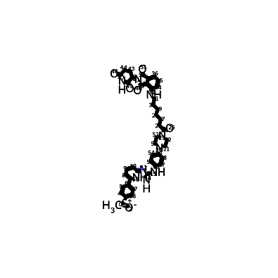 C[S+]([O-])c1ccc(-c2ccc/c(=N/C(=N)Nc3ccc(N4CCN(C(=O)CCCCCCNc5cccc6c5C(=O)N(C5CCC(=O)NC5=O)C6=O)CC4)cc3)[nH]2)cc1